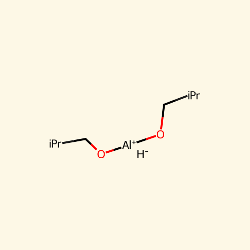 CC(C)C[O][Al+][O]CC(C)C.[H-]